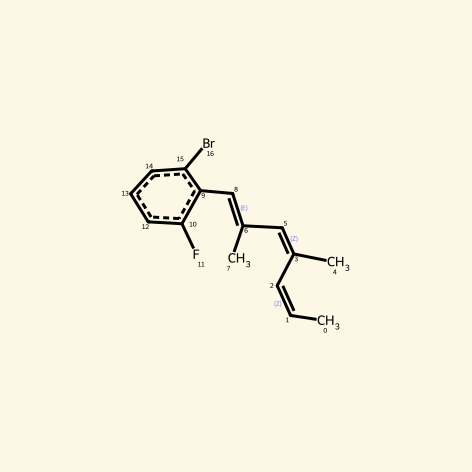 C\C=C/C(C)=C\C(C)=C\c1c(F)cccc1Br